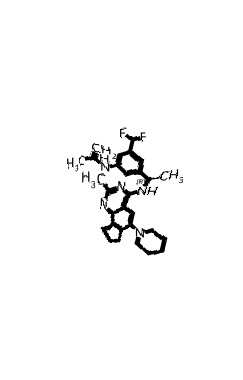 C=C(C)Nc1cc(C(F)F)cc([C@@H](C)Nc2nc(C)nc3c4c(c(N5CCCCC5)cc23)CCC4)c1